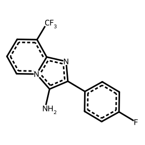 Nc1c(-c2ccc(F)cc2)nc2c(C(F)(F)F)cccn12